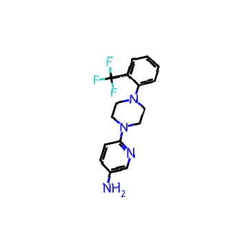 Nc1ccc(N2CCN(c3ccccc3C(F)(F)F)CC2)nc1